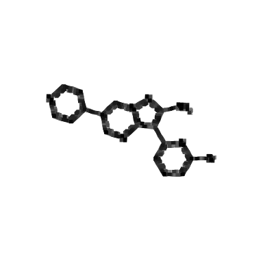 Nc1nn2cc(-c3ccncc3)cnc2c1-c1cccc(Br)n1